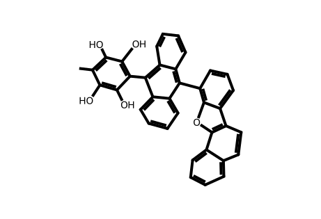 Cc1c(O)c(O)c(-c2c3ccccc3c(-c3cccc4c3oc3c5ccccc5ccc43)c3ccccc23)c(O)c1O